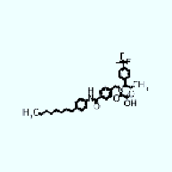 CCCCCCCCc1ccc(NC(=O)c2ccc(CN(C(=O)C(=O)O)C(CC)c3ccc(C(F)(F)F)cc3)cc2)cc1